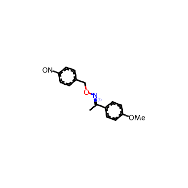 COc1ccc(/C(C)=N/OCc2ccc(N=O)cc2)cc1